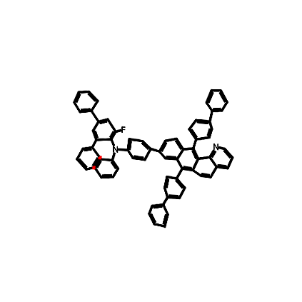 Fc1cc(-c2ccccc2)cc(-c2ccccc2)c1N(c1ccccc1)c1ccc(-c2ccc3c(-c4ccc(-c5ccccc5)cc4)c4c(ccc5cccnc54)c(-c4ccc(-c5ccccc5)cc4)c3c2)cc1